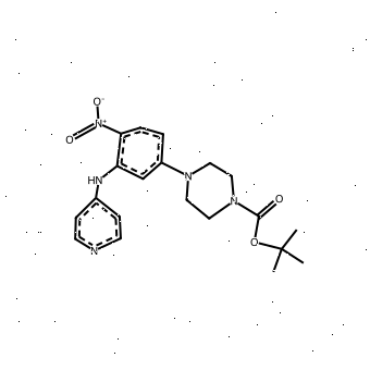 CC(C)(C)OC(=O)N1CCN(c2ccc([N+](=O)[O-])c(Nc3ccncc3)c2)CC1